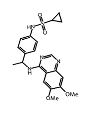 COc1cc2ncnc(NC(C)c3ccc(NS(=O)(=O)C4CC4)cc3)c2cc1OC